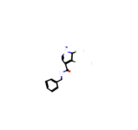 CC1C(C(=O)O)=C(C(=O)NCc2ccccc2)C=CN1C